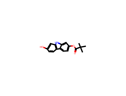 CC(C)(C)C(=O)Oc1ccc2c(c1)[nH]c1cc(O)ccc12